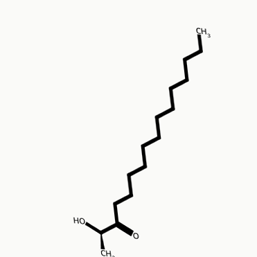 CCCCCCCCCCCCCC(=O)[C@@H](C)O